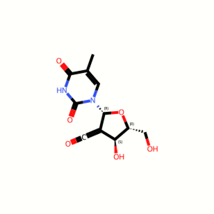 Cc1cn([C@@H]2O[C@H](CO)[C@@H](O)C2=C=O)c(=O)[nH]c1=O